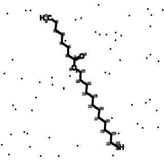 CCCCCCCC(=O)OCCCCCCCCCCCCS